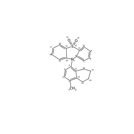 Cc1ccc(N2c3ccccc3S(=O)(=O)c3ccccc32)c2c1CCCC2